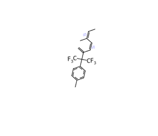 C=C(/C=C\C(C)=C/C)C(c1ccc(C)cc1)(C(F)(F)F)C(F)(F)F